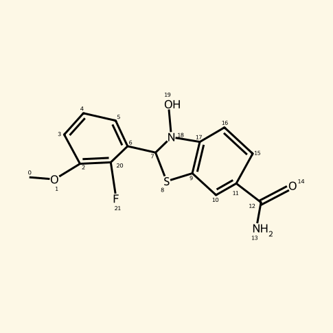 COc1cccc(C2Sc3cc(C(N)=O)ccc3N2O)c1F